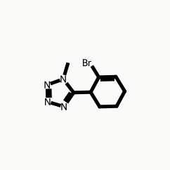 Cn1nnnc1C1CCCC=C1Br